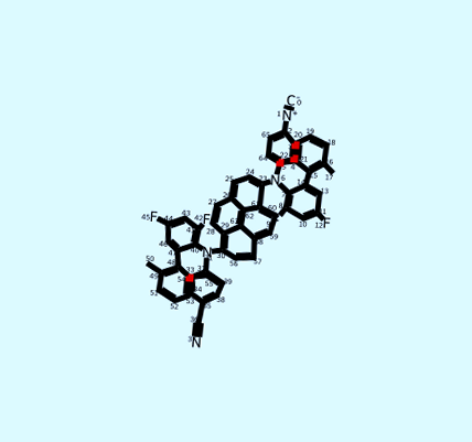 [C-]#[N+]c1ccc(N(c2c(F)cc(F)cc2-c2c(C)cccc2C)c2ccc3ccc4c(N(c5ccc(C#N)cc5)c5c(F)cc(F)cc5-c5c(C)cccc5C)ccc5ccc2c3c54)cc1